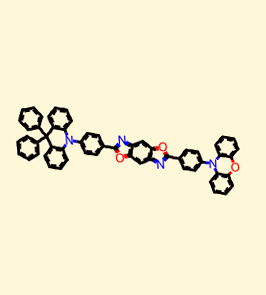 c1ccc(C2(c3ccccc3)c3ccccc3N(c3ccc(-c4nc5cc6oc(-c7ccc(N8c9ccccc9Oc9ccccc98)cc7)nc6cc5o4)cc3)c3ccccc32)cc1